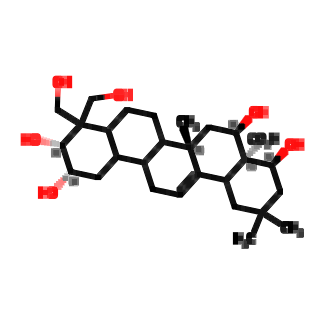 CC1(C)CC2C3=CCC4C5C[C@H](O)[C@H](O)C(CO)(CO)C5CCC4[C@]3(C)C[C@@H](O)[C@@]2(C(=O)O)[C@@H](O)C1